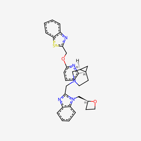 c1cc(OCc2nc3ccccc3s2)nc([C@]23CCN(Cc4nc5ccccc5n4C[C@@H]4CCO4)C[C@H]2C3)c1